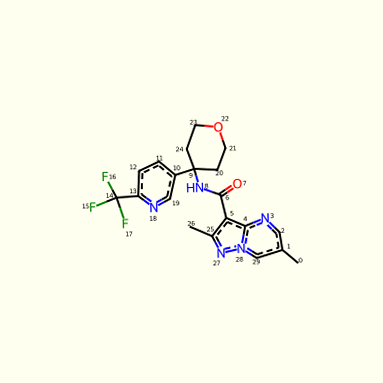 Cc1cnc2c(C(=O)NC3(c4ccc(C(F)(F)F)nc4)CCOCC3)c(C)nn2c1